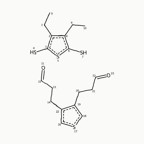 CCc1c(S)sc(S)c1CC.O=CCCc1cscc1CCC=O